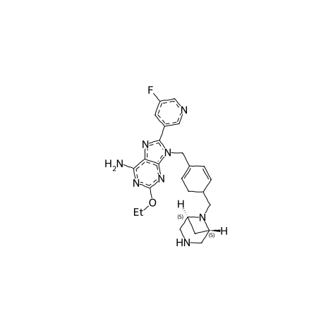 CCOc1nc(N)c2nc(-c3cncc(F)c3)n(CC3=CCC(CN4[C@@H]5CNC[C@@H]4C5)C=C3)c2n1